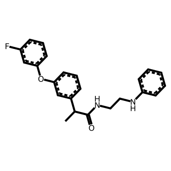 CC(C(=O)NCCNc1ccccc1)c1cccc(Oc2cccc(F)c2)c1